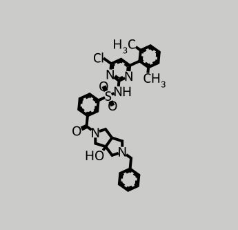 Cc1cccc(C)c1-c1cc(Cl)nc(NS(=O)(=O)c2cccc(C(=O)N3CC4CN(Cc5ccccc5)CC4(O)C3)c2)n1